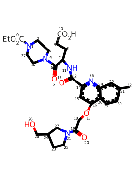 CCOC(=O)N1CCN(C(=O)C(CCC(=O)O)NC(=O)c2cc(OCC(=O)N3CCC(CO)C3)c3ccc(C)cc3n2)CC1